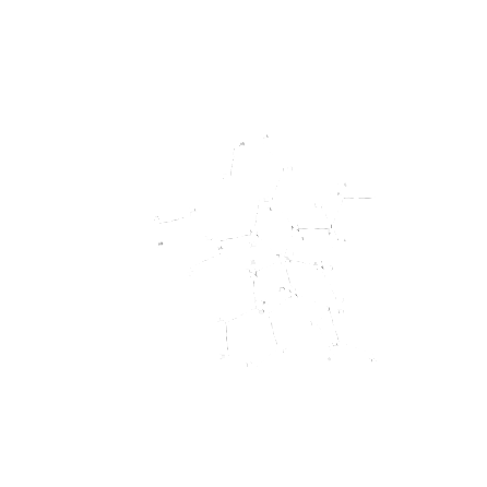 CCC[N](CCC)[Ta]([N](CCC)CCC)([N](CCC)CCC)([N](CCC)CCC)[N](CCC)CCC